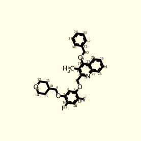 Cc1c(COc2cc(OCC3CCOCC3)c(F)cc2F)nc2ccccc2c1OCc1ccccc1